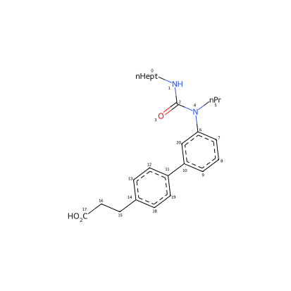 CCCCCCCNC(=O)N(CCC)c1cccc(-c2ccc(CCC(=O)O)cc2)c1